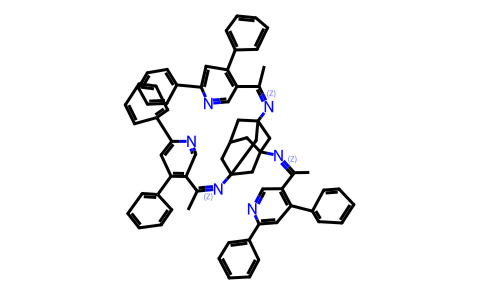 C/C(=N/C12CC3CC(/N=C(/C)c4cnc(-c5ccccc5)cc4-c4ccccc4)(C1)CC(/N=C(/C)c1cnc(-c4ccccc4)cc1-c1ccccc1)(C3)C2)c1cnc(-c2ccccc2)cc1-c1ccccc1